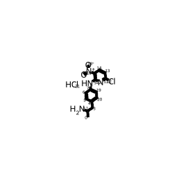 CC(N)Cc1ccc(Nc2nc(Cl)ccc2[N+](=O)[O-])cc1.Cl